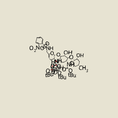 C[C@@H]1CO[C@H](O[C@@H]2[C@@H](O)[C@H](O[C@H]3OC(CNS(=O)(=O)c4ccccc4[N+](=O)[O-])=CC[C@H]3N/C(=N/C(=O)OC(C)(C)C)NC(=O)OC(C)(C)C)[C@@H](NC(=O)OC(C)(C)C)C[C@H]2NC(=O)OC(C)(C)C)[C@H](O)C1